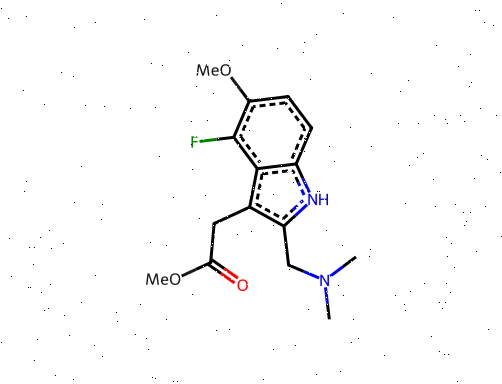 COC(=O)Cc1c(CN(C)C)[nH]c2ccc(OC)c(F)c12